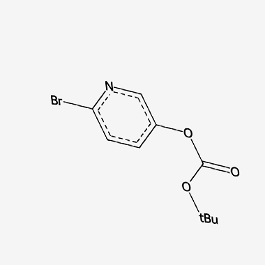 CC(C)(C)OC(=O)Oc1ccc(Br)nc1